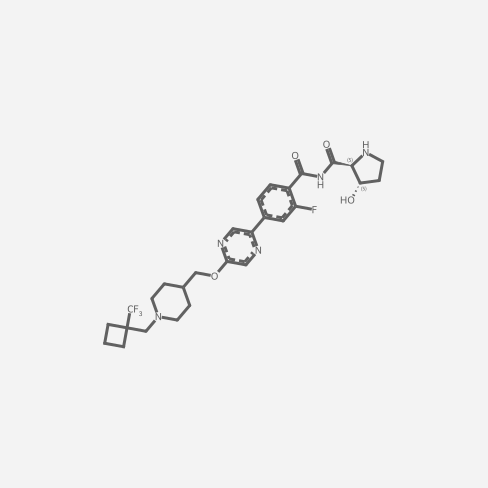 O=C(NC(=O)[C@H]1NCC[C@@H]1O)c1ccc(-c2cnc(OCC3CCN(CC4(C(F)(F)F)CCC4)CC3)cn2)cc1F